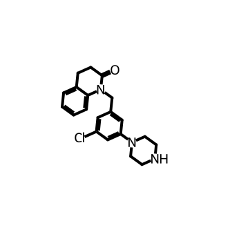 O=C1CCc2ccccc2N1Cc1cc(Cl)cc(N2CCNCC2)c1